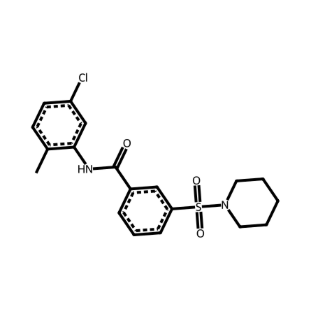 Cc1ccc(Cl)cc1NC(=O)c1cccc(S(=O)(=O)N2CCCCC2)c1